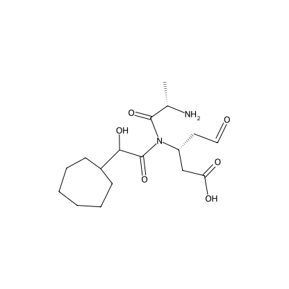 C[C@H](N)C(=O)N(C(=O)C(O)C1CCCCCC1)[C@H](CC=O)CC(=O)O